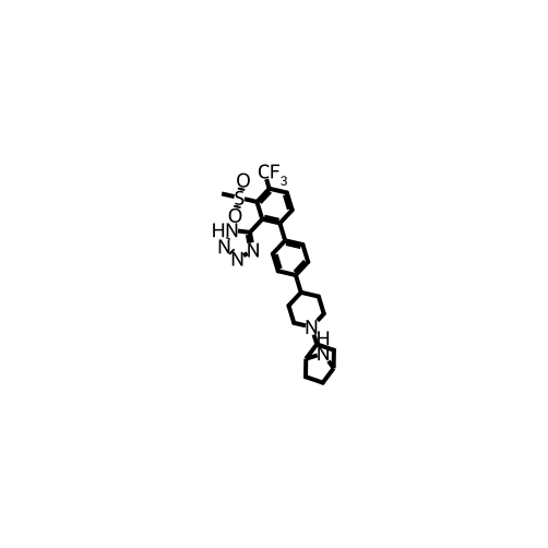 CS(=O)(=O)c1c(C(F)(F)F)ccc(-c2ccc(C3CCN(C4CC5CCC4N5)CC3)cc2)c1-c1nnn[nH]1